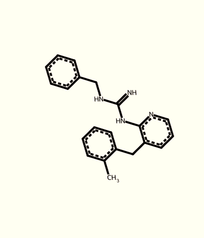 Cc1ccccc1Cc1cccnc1NC(=N)NCc1ccccc1